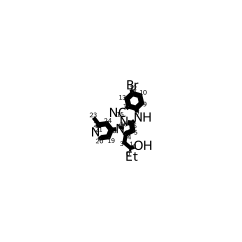 CC[C@H](O)Cc1cc(Nc2ccc(Br)cc2C#N)nn1-c1ccnc(C)c1